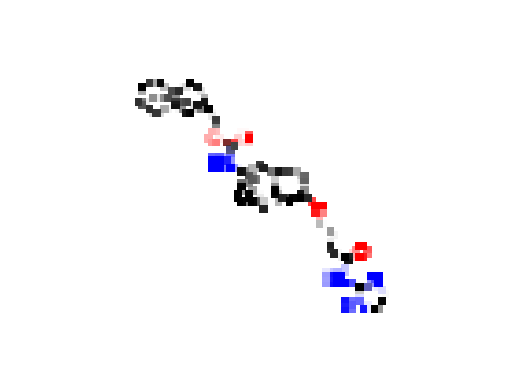 O=C(CCCOc1ccc(C[C@H](NC(=O)OCC23CCC4CCC(CC4C2)C3)C(=O)O)cc1)NC1=NCCN1